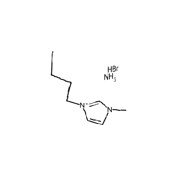 Br.CCCC[n+]1ccn(C)c1.N